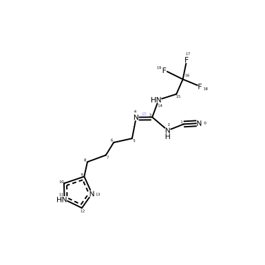 N#CN/C(=N\CCCCc1c[nH]cn1)NCC(F)(F)F